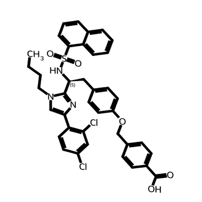 CCCCn1cc(-c2ccc(Cl)cc2Cl)nc1[C@H](Cc1ccc(OCc2ccc(C(=O)O)cc2)cc1)NS(=O)(=O)c1cccc2ccccc12